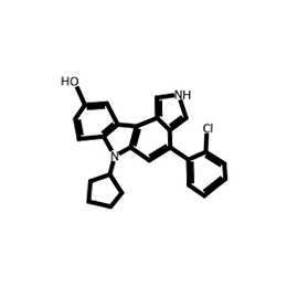 Oc1ccc2c(c1)c1c3c[nH]cc3c(-c3ccccc3Cl)cc1n2C1CCCC1